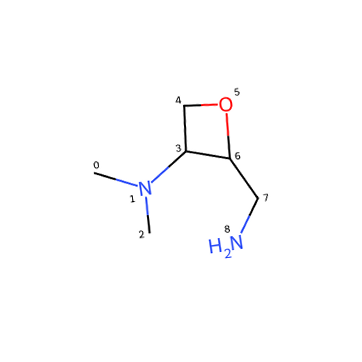 CN(C)C1COC1CN